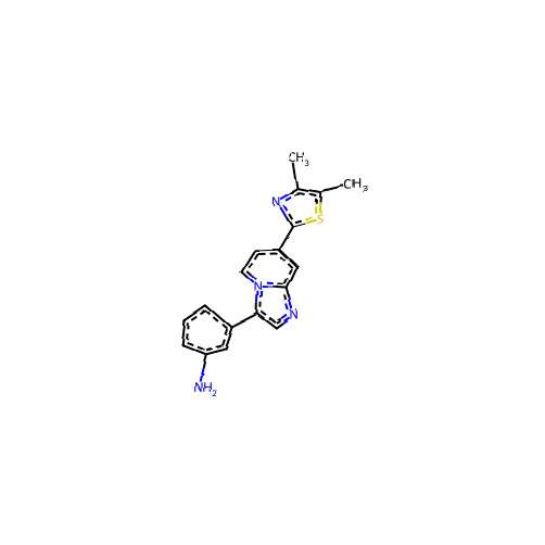 Cc1nc(-c2ccn3c(-c4cccc(N)c4)cnc3c2)sc1C